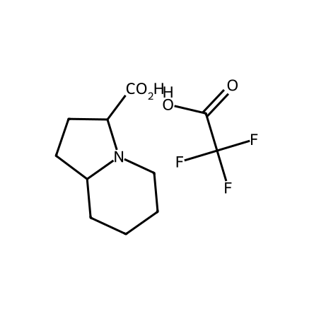 O=C(O)C(F)(F)F.O=C(O)C1CCC2CCCCN21